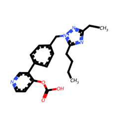 CCCCc1nc(CC)nn1Cc1ccc(-c2cnccc2OC(=O)O)cc1